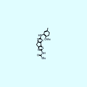 COC1=C(Nc2nc3c(s2)Cc2nc(NC(=O)C(C)(C)C)sc2-3)C=C(C)CC1